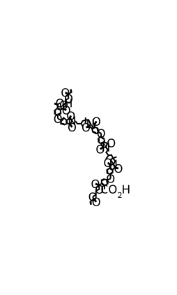 C=CC(=O)OCCOC(=O)c1cc(Oc2ccc3c(c2)C(=O)N(CCC(C)CC(C)(C)CN2C(=O)c4ccc(Oc5ccc6c(c5)C(=O)N(CCC(C)CC(C)(C)CN5C(=O)c7ccc(Oc8ccc(C(=O)OCCOC(=O)C=C)c(C(=O)O)c8)cc7C5=O)C6=O)cc4C2=O)C3=O)ccc1C(=C)O